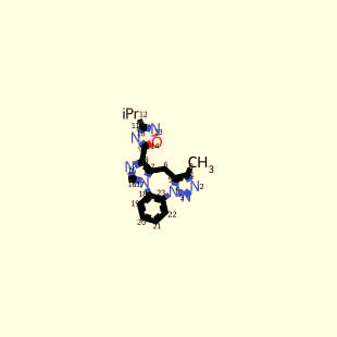 Cc1nnn2c1Cc1c(-c3nc(C(C)C)no3)ncn1-c1ccccc1-2